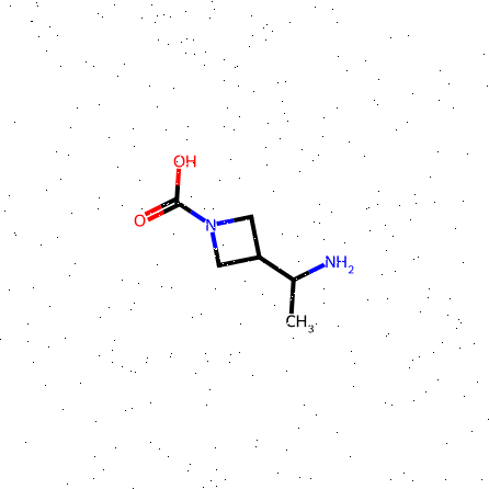 CC(N)C1CN(C(=O)O)C1